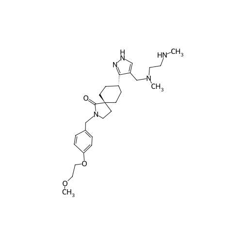 CNCCN(C)Cc1c[nH]nc1[C@H]1CC[C@]2(CCN(Cc3ccc(OCCOC)cc3)C2=O)CC1